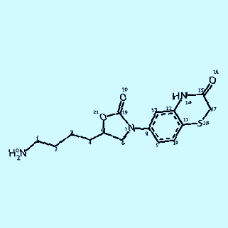 NCCCCC1CN(c2ccc3c(c2)NC(=O)CS3)C(=O)O1